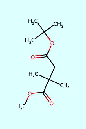 COC(=O)C(C)(C)CC(=O)OC(C)(C)C